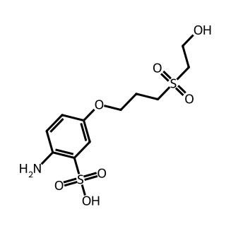 Nc1ccc(OCCCS(=O)(=O)CCO)cc1S(=O)(=O)O